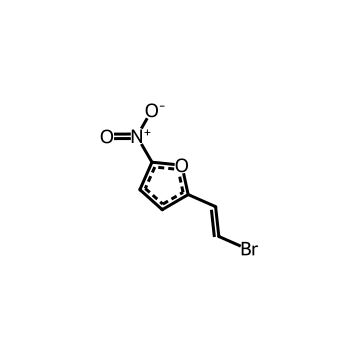 O=[N+]([O-])c1ccc(C=CBr)o1